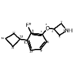 Fc1c(OC2CNC2)cccc1C1CCC1